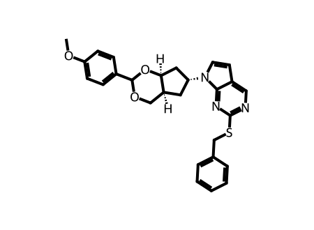 COc1ccc(C2OC[C@@H]3C[C@@H](n4ccc5cnc(SCc6ccccc6)nc54)C[C@@H]3O2)cc1